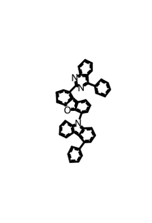 c1ccc(-c2nc(-c3cccc4oc5c(-n6c7ccccc7c7c(-c8ccccc8)cccc76)cccc5c34)nc3ccccc23)cc1